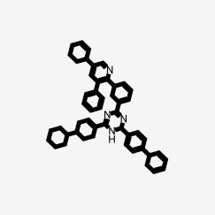 C1=CCC(c2ccc(C3N=C(C4=CC=CC(c5ncc(C6C=CCCC6)cc5-c5ccccc5)C4)N=C(C4=CCC(C5CCCCC5)CC4)N3)cc2)C=C1